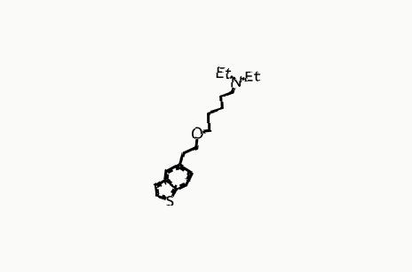 CCN(CC)CCCCCOCCc1ccc2sccc2c1